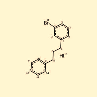 Brc1cccc(CCCc2ccncc2)c1.I